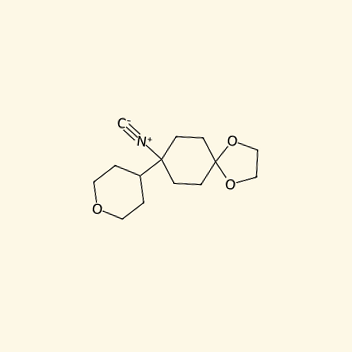 [C-]#[N+]C1(C2CCOCC2)CCC2(CC1)OCCO2